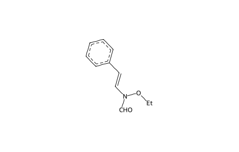 CCON(C=O)C=Cc1ccccc1